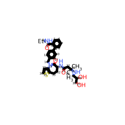 CCNC(=O)c1ccccc1-c1ccc(CN2C(=O)[C@H](NC(=O)CC(C)(C)NC[C@H](O)CO)CCc3sccc32)cc1